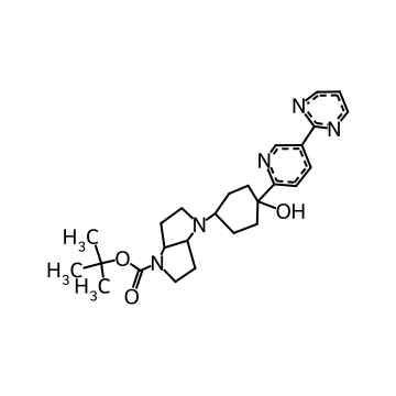 CC(C)(C)OC(=O)N1CCC2C1CCN2C1CCC(O)(c2ccc(-c3ncccn3)cn2)CC1